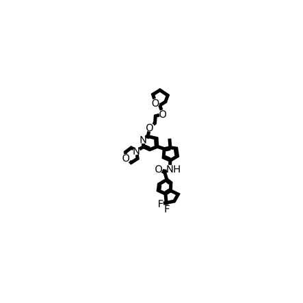 Cc1ccc(NC(=O)c2ccc3c(c2)CCC3(F)F)cc1-c1cc(OCCOC2CCCCO2)nc(N2CCOCC2)c1